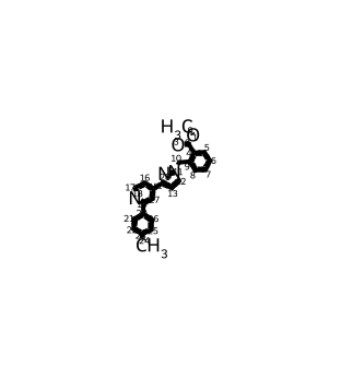 COC(=O)c1ccccc1Cn1ccc(-c2ccnc(-c3ccc(C)cc3)c2)n1